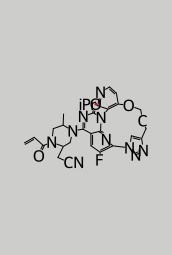 C=CC(=O)N1CC(C)N(c2nc(=O)n3c4nc(c(F)cc24)-n2cc(nn2)CCCOc2ccnc(C(C)C)c2-3)CC1CC#N